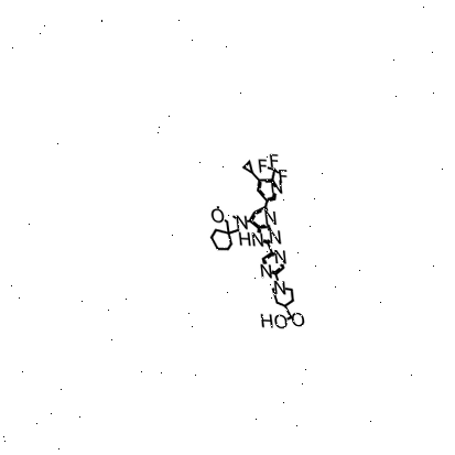 COCC1(CN(C)c2cc(-c3cnc(C(F)(F)F)c(C4CC4)c3)nc3nc(-c4cnc(N5CCC(C(=O)O)CC5)cn4)[nH]c23)CCCCC1